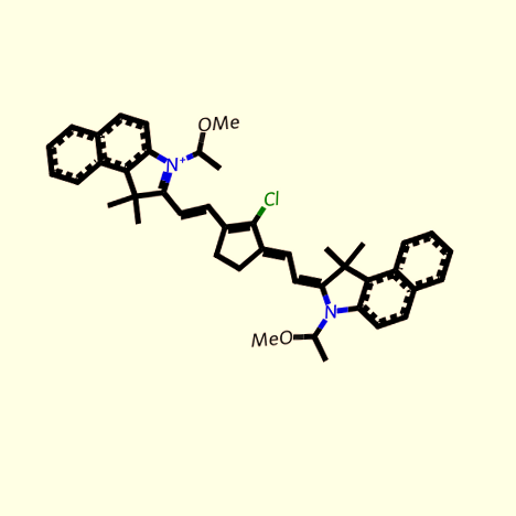 COC(C)N1/C(=C/C=C2\CCC(/C=C/C3=[N+](C(C)OC)c4ccc5ccccc5c4C3(C)C)=C2Cl)C(C)(C)c2c1ccc1ccccc21